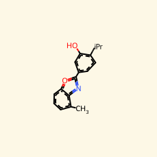 Cc1cccc2oc(-c3ccc(C(C)C)c(O)c3)nc12